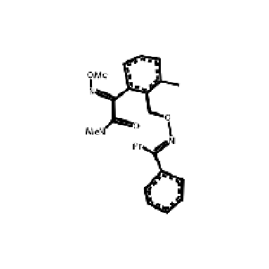 CNC(=O)/C(=N/OC)c1cccc(C)c1CO/N=C(/c1ccccc1)C(C)C